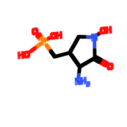 NC1C(=O)N(O)CC1CP(=O)(O)O